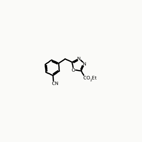 CCOC(=O)c1nnc(Cc2cccc(C#N)c2)o1